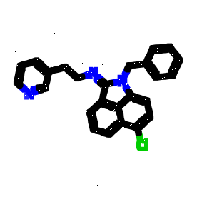 Clc1ccc2c3c(cccc13)/C(=N\CCc1cccnc1)N2Cc1ccccc1